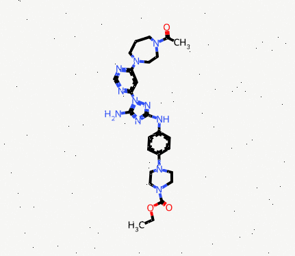 CCOC(=O)N1CCN(c2ccc(Nc3nc(N)n(-c4cc(N5CCCN(C(C)=O)CC5)ncn4)n3)cc2)CC1